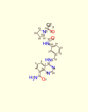 NC(=O)c1cccc2c(NCc3cccc(NC(=O)[C@@H]4CCCN4C(=O)C(F)(F)F)c3)ncnc12